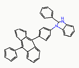 c1ccc(-c2c3ccccc3c(-c3ccc(N4c5ccccc5NC4c4ccccc4)cc3)c3ccccc23)cc1